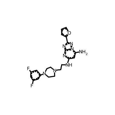 Nc1cc(NCCN2CCN(c3cc(F)cc(F)c3)CC2)nc2nc(-c3ccco3)nn12